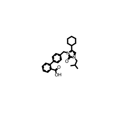 CC(C)Cn1cc(C2CCCCC2)n(Cc2ccc(-c3ccccc3C(=O)O)cc2)c1=O